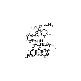 CC[C@H]1CNC[C@H](CCc2c(F)cccc2NC(=O)[C@@H](NC(=O)OC)C(c2ccc(Cl)cc2)C2CCOCC2)N1S(C)(=O)=O